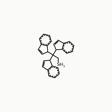 [SiH3]CC(C1C=Cc2ccccc21)(C1C=Cc2ccccc21)C1C=Cc2ccccc21